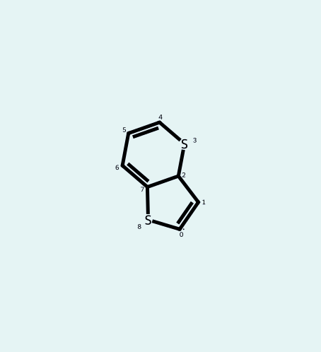 [C]1=CC2SC=CC=C2S1